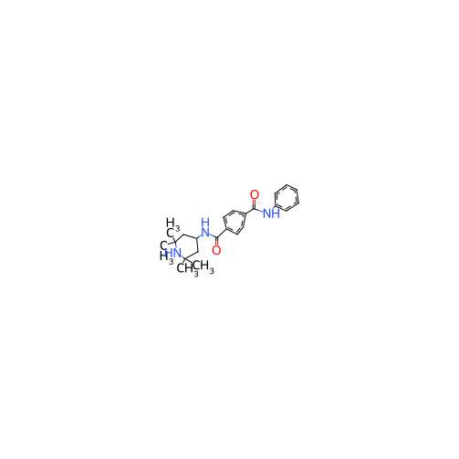 CC1(C)CC(NC(=O)c2ccc(C(=O)Nc3ccccc3)cc2)CC(C)(C)N1